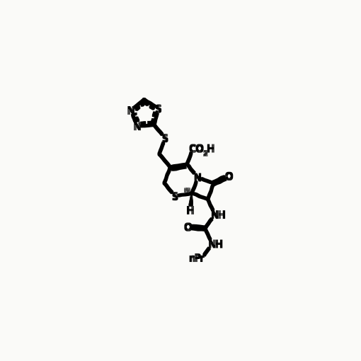 CCCNC(=O)NC1C(=O)N2C(C(=O)O)=C(CSc3nncs3)CS[C@@H]12